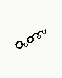 O=C(CCl)Cc1ccc(Oc2ccccc2)cc1